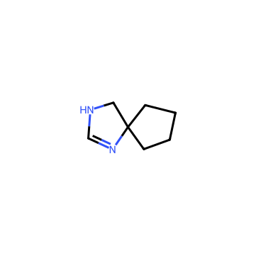 C1=NC2(CCCC2)CN1